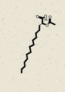 CCCCCCCCCCCCCC[C@@H](OC(C)=O)C(=O)O